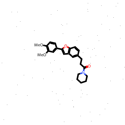 COc1ccc(-c2cc3cc(CCC(=O)N4CCCCC4)ccc3o2)cc1OC